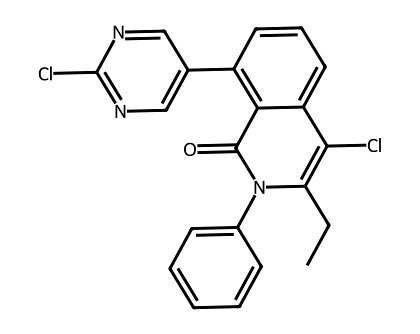 CCc1c(Cl)c2cccc(-c3cnc(Cl)nc3)c2c(=O)n1-c1ccccc1